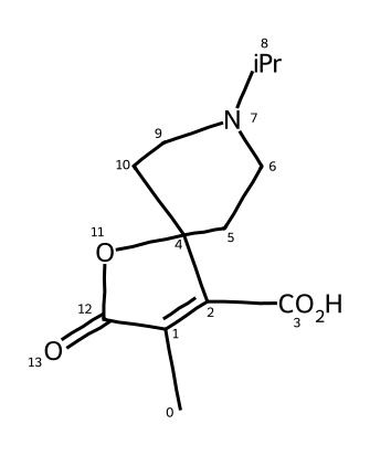 CC1=C(C(=O)O)C2(CCN(C(C)C)CC2)OC1=O